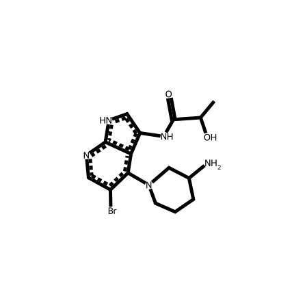 CC(O)C(=O)Nc1c[nH]c2ncc(Br)c(N3CCCC(N)C3)c12